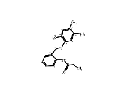 CCC(=O)Nc1ccccc1COc1cc(C)c(C)cc1C